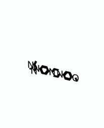 COc1ccc(N2CCN(c3ccc(-n4ncnc4C)cc3)CC2)cc1